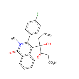 C=CCC(O)(C(=O)CC(=O)O)c1c(-c2ccc(F)cc2)n(CCC)c(=O)c2ccccc12